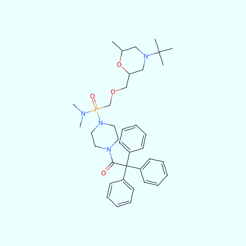 CC1CN(C(C)(C)C)CC(COCP(=O)(N(C)C)N2CCN(C(=O)C(c3ccccc3)(c3ccccc3)c3ccccc3)CC2)O1